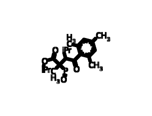 Cc1cc(C)c(C(=O)C(C(C)C)C(C)(P=O)C(=O)OC(C)C)c(C)c1